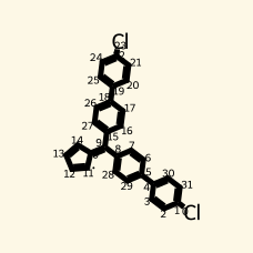 Clc1ccc(-c2ccc(C(=C3[C]=CC=C3)c3ccc(-c4ccc(Cl)cc4)cc3)cc2)cc1